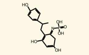 CC(CC1=C(O)C=C(O)CC1=NP(=O)(O)O)c1ccc(O)cc1